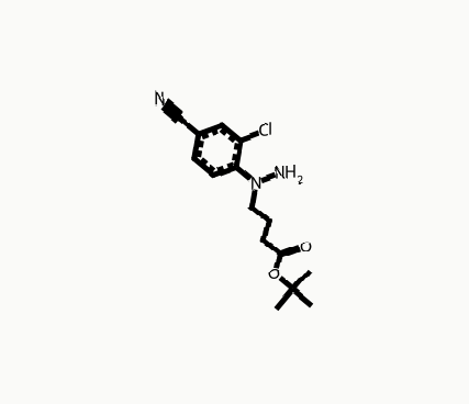 CC(C)(C)OC(=O)CCCN(N)c1ccc(C#N)cc1Cl